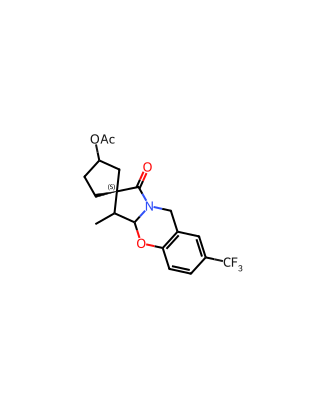 CC(=O)OC1CC[C@@]2(C1)C(=O)N1Cc3cc(C(F)(F)F)ccc3OC1C2C